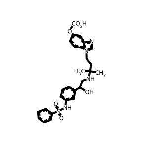 CC(C)(CCn1cnc2cc(OC(=O)O)ccc21)NCC(O)c1cccc(NS(=O)(=O)c2ccccc2)c1